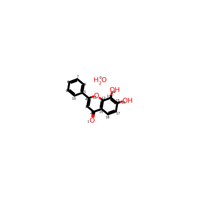 O.O=c1cc(-c2ccccc2)oc2c(O)c(O)ccc12